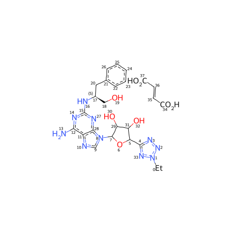 CCn1nnc(C2OC(n3cnc4c(N)nc(N[C@H](CO)Cc5ccccc5)nc43)C(O)C2O)n1.O=C(O)C=CC(=O)O